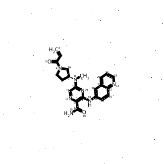 C=CC(=O)N1CC[C@@H](N(C)c2cnc(C(N)=O)c(Nc3ccc4ncccc4c3)n2)C1